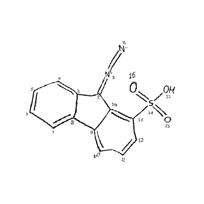 [N-]=[N+]=C1c2ccccc2-c2cccc(S(=O)(=O)O)c21